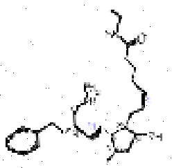 CCNC(=O)CCC/C=C\C[C@@H]1[C@@H](/C=C/[C@H](CCc2ccccc2)OPP)[C@H](C)C[C@@H]1O